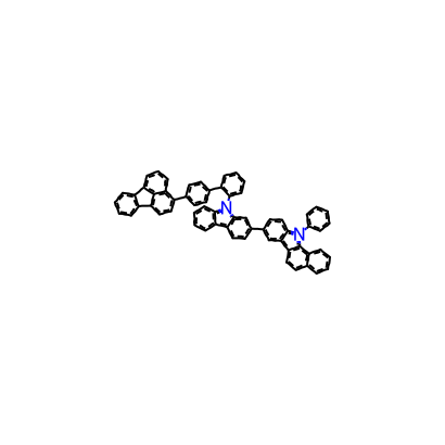 c1ccc(-n2c3ccc(-c4ccc5c6ccccc6n(-c6ccccc6-c6ccc(-c7ccc8c9c(cccc79)-c7ccccc7-8)cc6)c5c4)cc3c3ccc4ccccc4c32)cc1